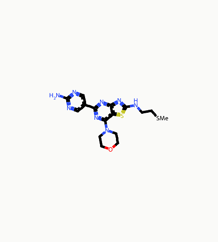 CSCCNc1nc2nc(-c3cnc(N)nc3)nc(N3CCOCC3)c2s1